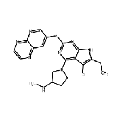 CCc1[nH]c2nc(Sc3cnc4nccnc4c3)nc(N3CCC(NC)C3)c2c1Cl